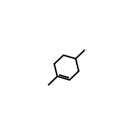 [CH2]C1CC=C(C)CC1